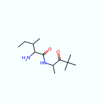 CCC(C)C(N)C(=O)NC(C)C(=O)C(C)(C)C